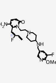 C=C/C(F)=C\c1c(N)ccc(=O)n1CCN1CCC(NCc2cnc(OC)c(F)c2)CC1